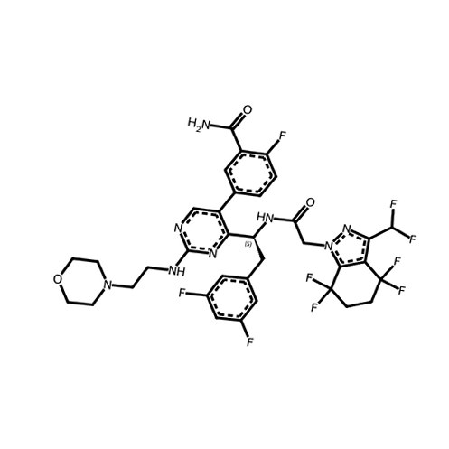 NC(=O)c1cc(-c2cnc(NCCN3CCOCC3)nc2[C@H](Cc2cc(F)cc(F)c2)NC(=O)Cn2nc(C(F)F)c3c2C(F)(F)CCC3(F)F)ccc1F